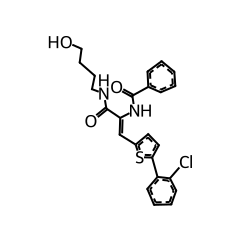 O=C(NCCCCO)C(=Cc1ccc(-c2ccccc2Cl)s1)NC(=O)c1ccccc1